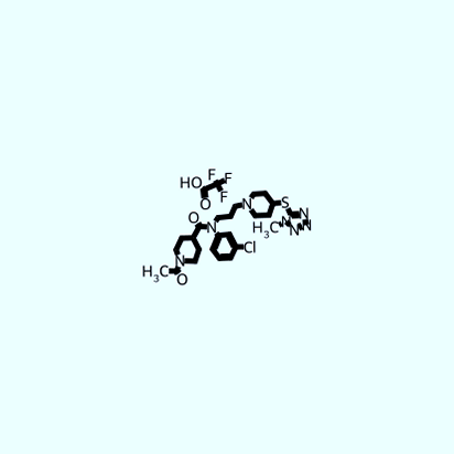 CC(=O)N1CCC(C(=O)N(CCCN2CCC(Sc3nnnn3C)CC2)c2cccc(Cl)c2)CC1.O=C(O)C(F)(F)F